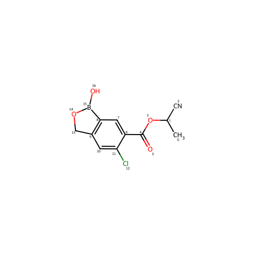 CC(C#N)OC(=O)c1cc2c(cc1Cl)COB2O